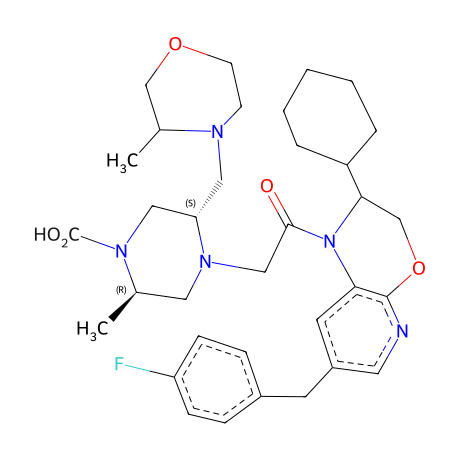 CC1COCCN1C[C@H]1CN(C(=O)O)[C@H](C)CN1CC(=O)N1c2cc(Cc3ccc(F)cc3)cnc2OCC1C1CCCCC1